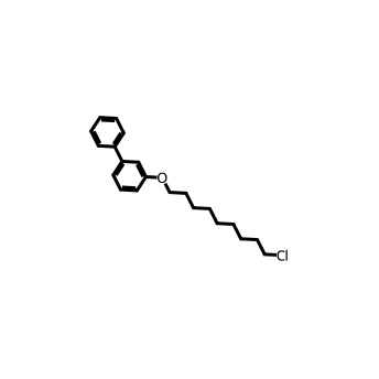 ClCCCCCCCCCOc1cccc(-c2ccccc2)c1